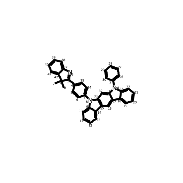 CC1(C)C(c2ccc(-n3c4ccccc4c4cc5c6ccccc6n(-c6ccccc6)c5cc43)cc2)=Nc2ccccc21